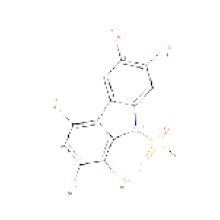 CS(=O)(=O)n1c2cc(O)c(O)cc2c2c(Br)cc(O)c(O)c21